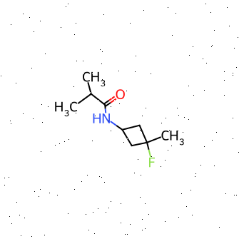 CC(C)C(=O)NC1CC(C)(F)C1